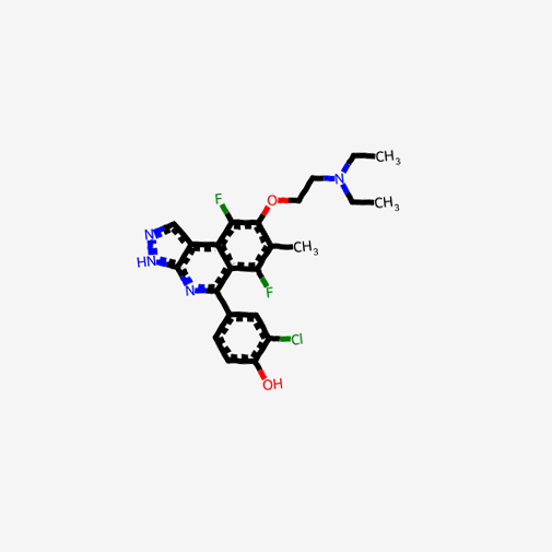 CCN(CC)CCOc1c(C)c(F)c2c(-c3ccc(O)c(Cl)c3)nc3[nH]ncc3c2c1F